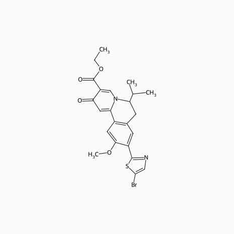 CCOC(=O)c1cn2c(cc1=O)-c1cc(OC)c(-c3ncc(Br)s3)cc1CC2C(C)C